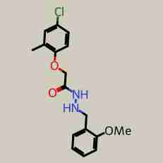 COc1ccccc1CNNC(=O)COc1ccc(Cl)cc1C